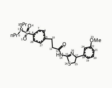 CCCN(CCC)S(=O)(=O)c1ccc(CCC(=O)NC2=NC(c3cccc(OC)c3)CS2)cc1